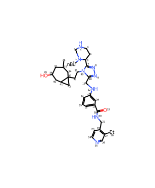 CCCCN1CNCCC1c1nnc(CNc2cccc(C(=O)NCc3ccncc3CC)c2)n1CCC12CC(C)CC(O)CC1C2